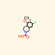 COc1cc(F)cc2c1CCN(C(=O)O)C2